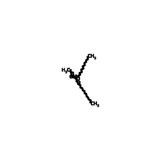 CCCCCCCCCCCCCCOCC(CNC(=O)OCCC)OCCCCCCCCCCCCCC